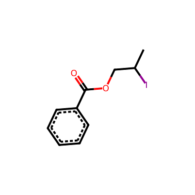 CC(I)COC(=O)c1ccccc1